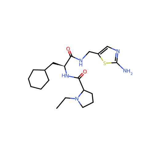 CCN1CCCC1C(=O)N[C@@H](CC1CCCCC1)C(=O)NCc1cnc(N)s1